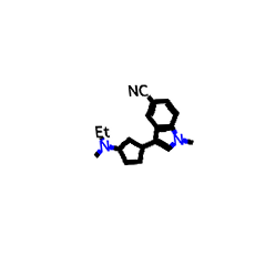 CCN(C)C1CCC(c2cn(C)c3ccc(C#N)cc23)C1